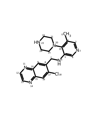 Cc1cncc(NCc2cc3nccnc3cc2Cl)c1N1CCNCC1